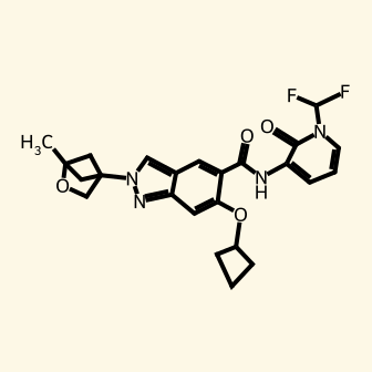 CC12CC(n3cc4cc(C(=O)Nc5cccn(C(F)F)c5=O)c(OC5CCC5)cc4n3)(CO1)C2